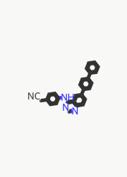 N#CCc1ccc(Nc2ncnc3ccc(-c4ccc(-c5ccccc5)cc4)cc23)cc1